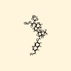 CC(C)Cc1cnc2cc(OC[C@H]3O[C@@H](n4ccc5c(N(C(=O)OC(C)(C)C)C(=O)OC(C)(C)C)ncnc54)[C@@H]4OC(C)(C)O[C@@H]43)ccc2c1